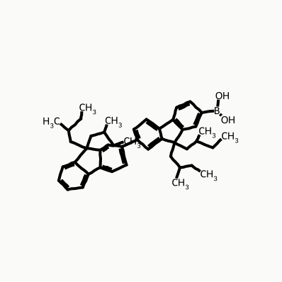 CCC(C)CC1(CC(C)CC)c2ccccc2-c2ccc(-c3ccc4c(c3)C(CC(C)CC)(CC(C)CC)c3cc(B(O)O)ccc3-4)cc21